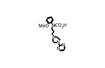 COc1ccccc1N(CCCN1CCN(c2ncccn2)CC1)C(=O)O